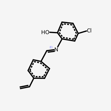 C=Cc1ccc(/C=N/c2cc(Cl)ccc2O)cc1